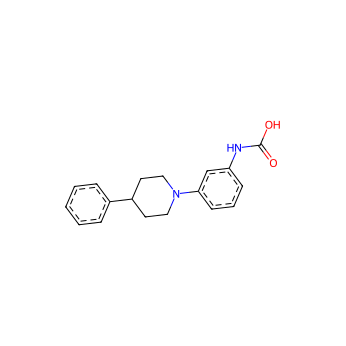 O=C(O)Nc1cccc(N2CCC(c3ccccc3)CC2)c1